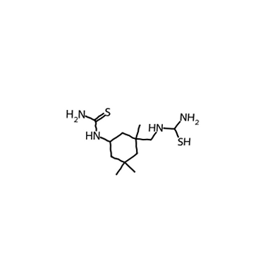 CC1(C)CC(NC(N)=S)CC(C)(CNC(N)S)C1